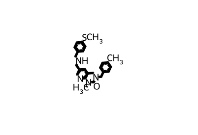 CSc1ccc(CNCc2cnc3c(c2)CN(Cc2ccc(C)cc2)C(=O)N3C)cc1